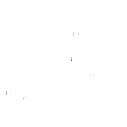 COc1ccc(/N=C(\C)c2ccccc2O)cc1